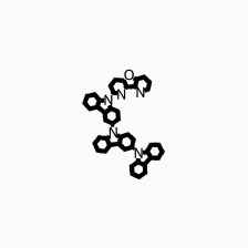 c1cnc2c(c1)oc1ccc(-n3c4ccccc4c4cc(-n5c6ccccc6c6cc(-n7c8ccccc8c8ccccc87)ccc65)ccc43)nc12